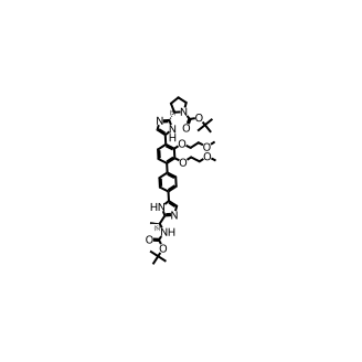 COCCOc1c(-c2ccc(-c3cnc([C@H](C)NC(=O)OC(C)(C)C)[nH]3)cc2)ccc(-c2cnc([C@@H]3CCCN3C(=O)OC(C)(C)C)[nH]2)c1OCCOC